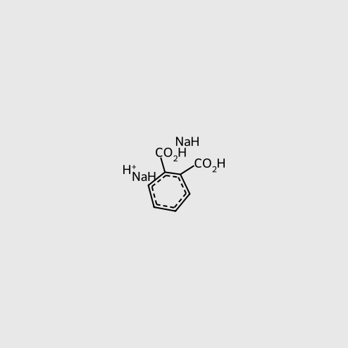 O=C(O)c1ccccc1C(=O)O.[H+].[NaH].[NaH]